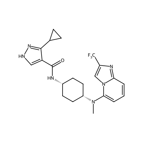 CN(c1cccc2nc(C(F)(F)F)cn12)[C@H]1CC[C@@H](NC(=O)c2c[nH]nc2C2CC2)CC1